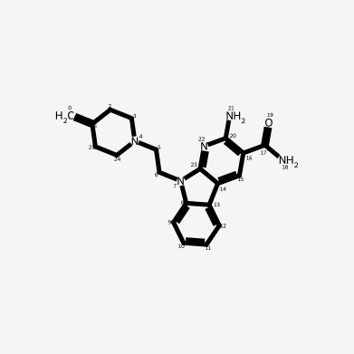 C=C1CCN(CCn2c3ccccc3c3cc(C(N)=O)c(N)nc32)CC1